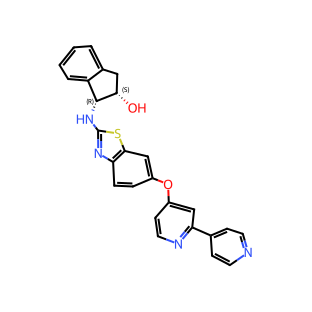 O[C@H]1Cc2ccccc2[C@H]1Nc1nc2ccc(Oc3ccnc(-c4ccncc4)c3)cc2s1